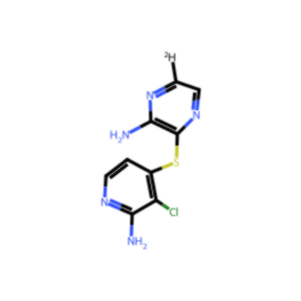 [2H]c1cnc(Sc2ccnc(N)c2Cl)c(N)n1